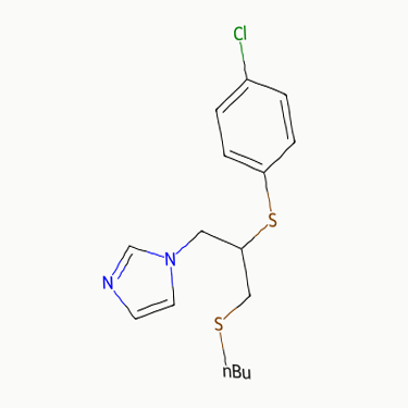 CCCCSCC(Cn1ccnc1)Sc1ccc(Cl)cc1